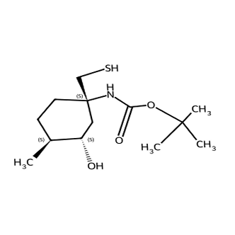 C[C@H]1CC[C@](CS)(NC(=O)OC(C)(C)C)C[C@@H]1O